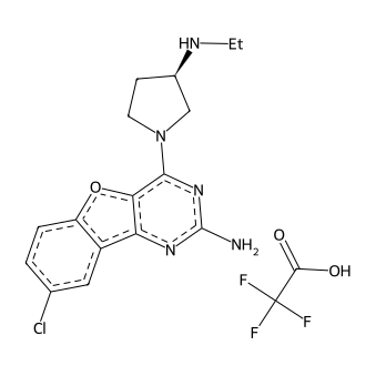 CCN[C@@H]1CCN(c2nc(N)nc3c2oc2ccc(Cl)cc23)C1.O=C(O)C(F)(F)F